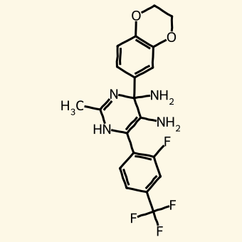 CC1=NC(N)(c2ccc3c(c2)OCCO3)C(N)=C(c2ccc(C(F)(F)F)cc2F)N1